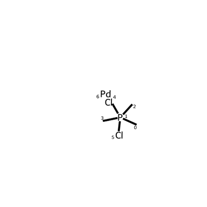 CP(C)(C)(Cl)Cl.[Pd]